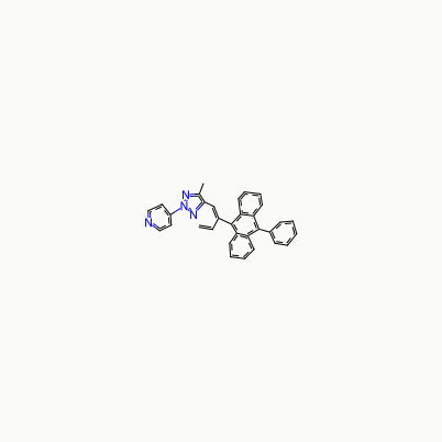 C=C/C(=C\c1nn(-c2ccncc2)nc1C)c1c2ccccc2c(-c2ccccc2)c2ccccc12